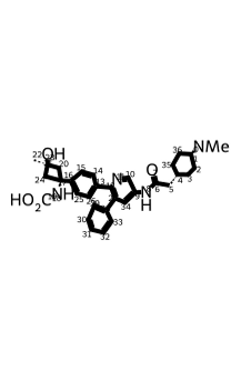 CN[C@H]1CC[C@H](CC(=O)Nc2cnc(-c3ccc([C@]4(NC(=O)O)C[C@](C)(O)C4)cc3)c(-c3ccccc3)c2)CC1